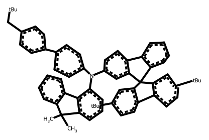 CC(C)(C)Cc1ccc(-c2ccc(N(c3ccc4c(c3)C3(c5ccccc5-4)c4cc(C(C)(C)C)ccc4-c4ccc(C(C)(C)C)cc43)c3cccc4c3-c3ccccc3C4(C)C)cc2)cc1